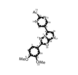 COc1ccc(-c2nn3c(-c4cnc(C(C)=O)nc4)cnc3o2)cc1OC